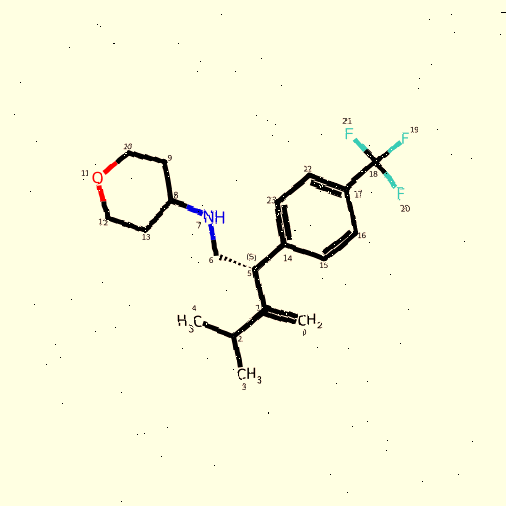 C=C(C(C)C)[C@H](CNC1CCOCC1)c1ccc(C(F)(F)F)cc1